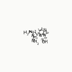 Cc1nc2ccc(-c3cc(N)nc(N)c3)nc2n1CCO